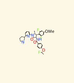 COc1cc(F)c([C@H]2[C@H](NC(=O)c3ccc(OC(C)F)cc3)C(=O)N(c3cccc(C4CCCN(C)C4)n3)[C@H]2C)c(F)c1